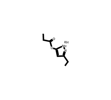 CCC(=O)Oc1cc(CC)n[nH]1.[KH]